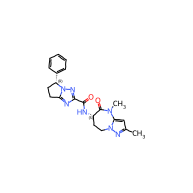 Cc1cc2n(n1)CC[C@H](NC(=O)c1nc3n(n1)[C@@H](c1ccccc1)CC3)C(=O)N2C